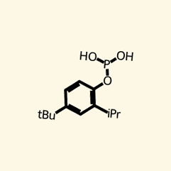 CC(C)c1cc(C(C)(C)C)ccc1OP(O)O